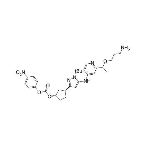 CC(OCCCN)c1cc(Nc2cc([C@H]3CC[C@@H](OC(=O)Oc4ccc([N+](=O)[O-])cc4)C3)nn2C(C)(C)C)ccn1